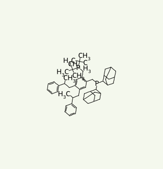 CC(Cc1cc(CP(C2C3CC4CC(C3)CC2C4)C2C3CC4CC(C3)CC2C4)c(CP(C(C)(C)C)C(C)(C)C)cc1CC(C)c1ccccc1)c1ccccc1